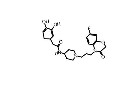 O=C(CC1C=C(O)C(O)=CC1)NC1CCN(CCCN2C(=O)COc3cc(F)ccc32)CC1